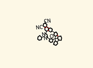 N#Cc1cc(C#N)cc(-c2ccc(-c3cccc4c3Oc3c(-c5cc(-c6ccccc6)nc(-c6ccccc6)n5)cccc3C43c4ccccc4-c4ccccc43)cc2)c1